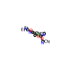 CCN(CC)C1CCC(c2nc3cc(-c4cccc(COc5cc(OCc6cncc(C#N)c6)c(CN6CCCC[C@H]6C(=O)O)cc5Cl)c4C)ccc3o2)CC1